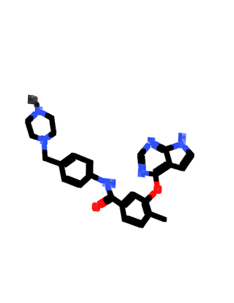 CCN1CCN(Cc2ccc(NC(=O)c3ccc(C)c(Oc4ncnc5[nH]ccc45)c3)cc2)CC1